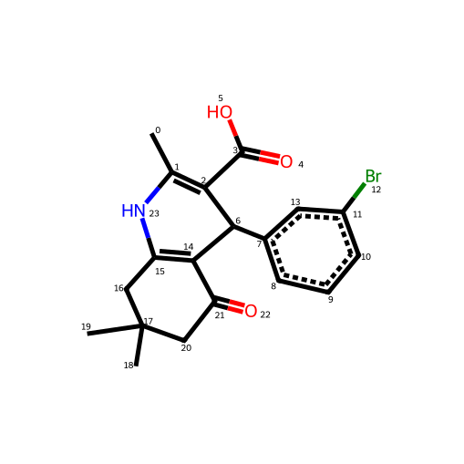 CC1=C(C(=O)O)C(c2cccc(Br)c2)C2=C(CC(C)(C)CC2=O)N1